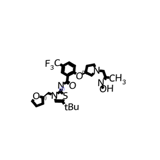 CC(CN1CC[C@H](Oc2ccc(C(F)(F)F)cc2C(=O)/N=c2\sc(C(C)(C)C)cn2C[C@H]2CCCO2)C1)=NO